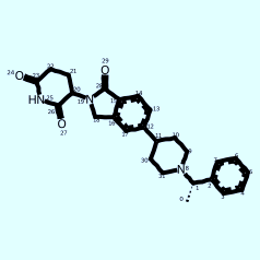 C[C@@H](c1ccccc1)N1CCC(c2ccc3c(c2)CN(C2CCC(=O)NC2=O)C3=O)CC1